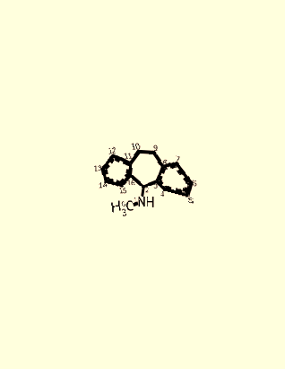 CNC1c2ccccc2CCc2ccccc21